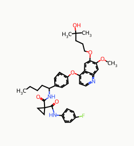 CCCCC(NC(=O)C1(C(=O)Nc2ccc(F)cc2)CC1)c1ccc(Oc2ccnc3cc(OC)c(OCCCC(C)(C)O)cc23)cc1